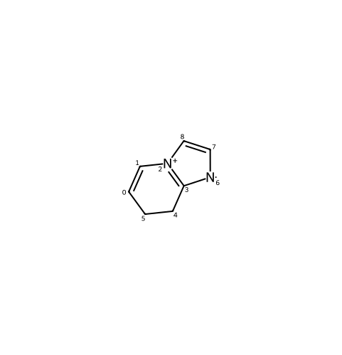 C1=C[N+]2=C(CC1)[N]C=C2